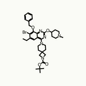 CCc1cc2c(N3CCC4(CC3)CN(C(=O)OC(C)(C)C)C4)nc(OC3CCN(C)CC3)nc2c(OCc2ccccc2)c1Br